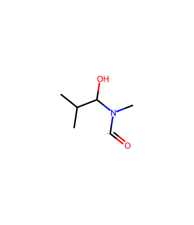 CC(C)C(O)N(C)[C]=O